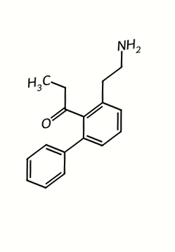 CCC(=O)c1c(CCN)cccc1-c1ccccc1